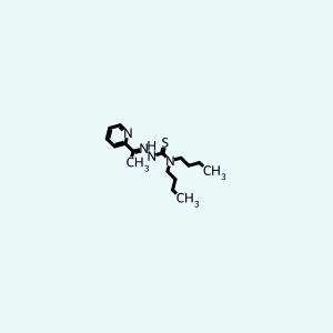 CCCCN(CCCC)C(=S)NN=C(C)c1ccccn1